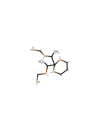 CC(SCS)C1(C(C)SCS)SCCCS1